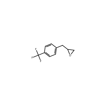 FC(F)(F)c1ccc(CC2CO2)cc1